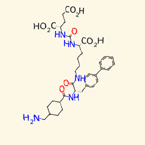 NCC1CCC(C(=O)N[C@@H](Cc2ccc(-c3ccccc3)cc2)C(=O)NCCCC[C@H](NC(=O)N[C@@H](CCC(=O)O)C(=O)O)C(=O)O)CC1